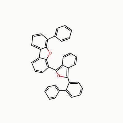 c1ccc(-c2ccccc2-c2oc(-c3cccc4c3oc3c(-c5ccccc5)cccc34)c3ccccc23)cc1